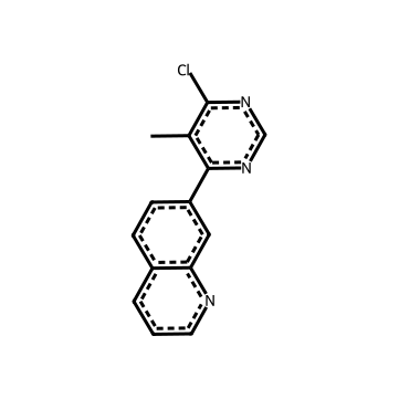 Cc1c(Cl)ncnc1-c1ccc2cccnc2c1